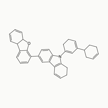 C1=CC2Oc3c(-c4ccc5c(c4)c4c(n5C5=CC(C6CC=CCC6)=CCC5)CCC=C4)cccc3C2C=C1